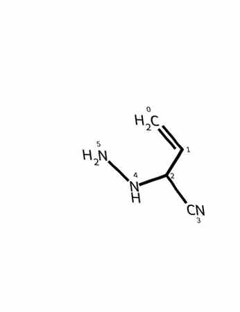 C=CC(C#N)NN